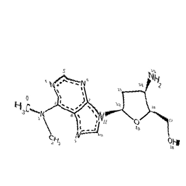 CN(C)c1ncnc2c1ncn2[C@H]1C[C@@H](N)[C@@H](CO)O1